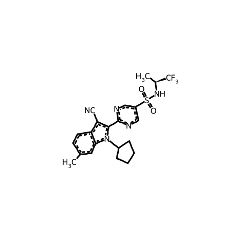 Cc1ccc2c(C#N)c(-c3ncc(S(=O)(=O)N[C@@H](C)C(F)(F)F)cn3)n(C3CCCC3)c2c1